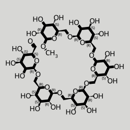 COC1O[C@H](CO[C@@H]2O[C@H](COC3O[C@H](CO[C@@H]4O[C@H](CO[C@@H]5O[C@H](CO[C@@H]6O[C@H](C=O)[C@@H](O)[C@H](O)C6O)[C@@H](O)[C@H](O)[C@H]5O)[C@@H](O)[C@H](O)[C@H]4O)[C@@H](O)C(O)[C@H]3O)[C@@H](O)[C@H](O)C2O)[C@@H](O)C(O)[C@H]1O